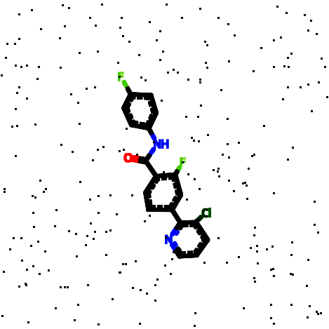 O=C(Nc1ccc(F)cc1)c1ccc(-c2ncccc2Cl)cc1F